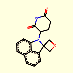 O=C1CCC(N2c3cccc4cccc(c34)C23COC3)C(=O)N1